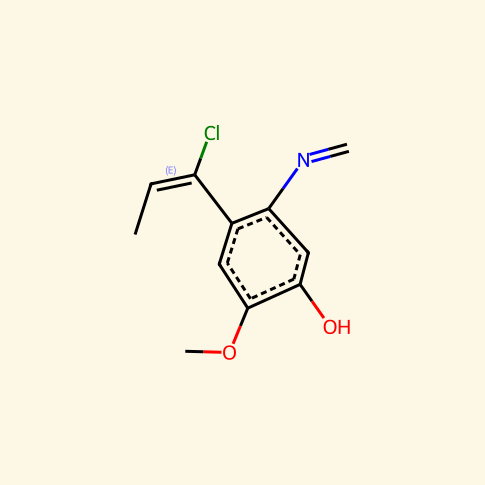 C=Nc1cc(O)c(OC)cc1/C(Cl)=C\C